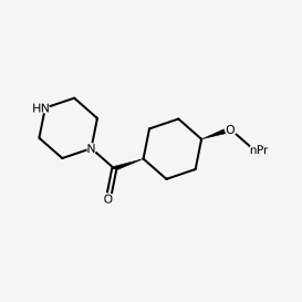 CCCO[C@H]1CC[C@@H](C(=O)N2CCNCC2)CC1